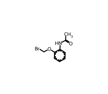 CC(=O)Nc1ccccc1OCBr